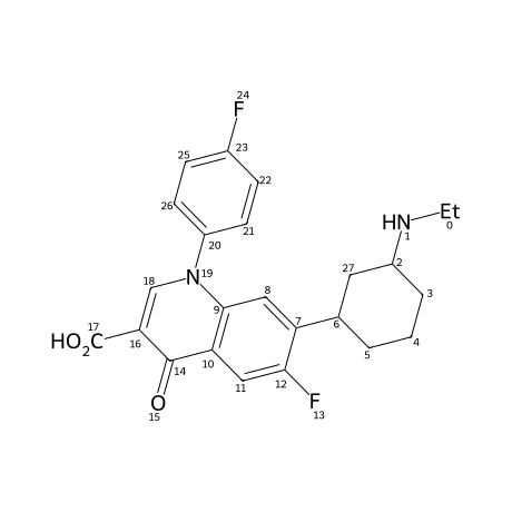 CCNC1CCCC(c2cc3c(cc2F)c(=O)c(C(=O)O)cn3-c2ccc(F)cc2)C1